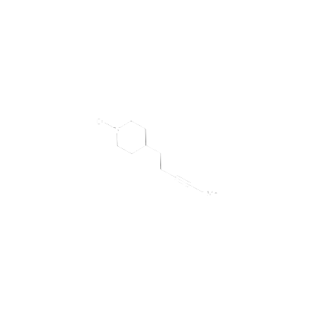 CCN1CCC(CCC#CSC)CC1